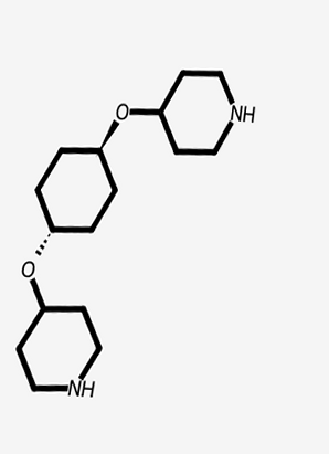 C1CC(O[C@H]2CC[C@H](OC3CCNCC3)CC2)CCN1